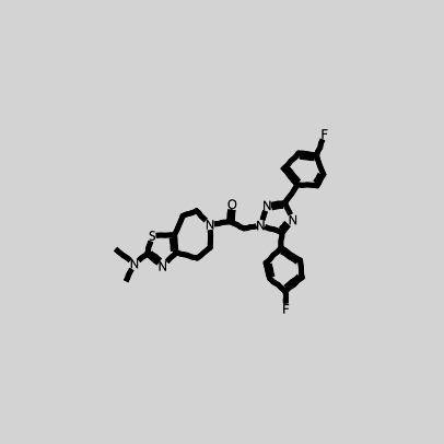 CN(C)c1nc2c(s1)CCN(C(=O)Cn1nc(-c3ccc(F)cc3)nc1-c1ccc(F)cc1)CC2